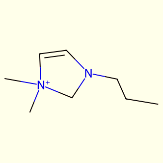 CCCN1C=C[N+](C)(C)C1